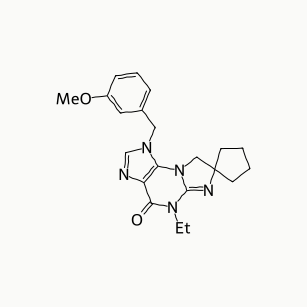 CCN1C(=O)c2ncn(Cc3cccc(OC)c3)c2N2CC3(CCCC3)N=C12